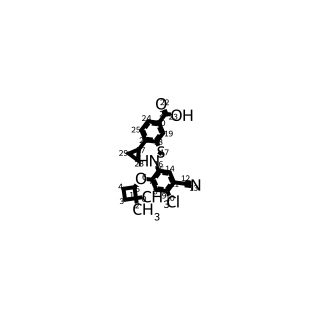 CC1(C)CCC1Oc1cc(Cl)c(C#N)cc1NSc1cc(C(=O)O)ccc1C1CC1